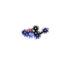 C[C@@H](NC(=O)c1c(N)nn2cccnc12)c1cc2nncc(C#Cc3ccncc3)c2cc1-c1ccccc1